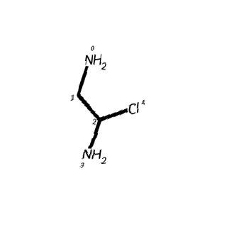 NCC(N)Cl